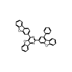 c1ccc(-c2cc(-c3nc(-c4ccc5c(c4)oc4ccccc45)c4oc5ccccc5c4n3)cc3oc4ccccc4c23)cc1